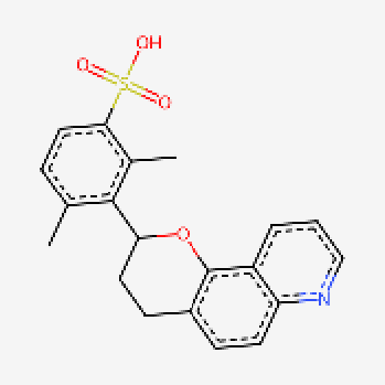 Cc1ccc(S(=O)(=O)O)c(C)c1C1CCc2ccc3ncccc3c2O1